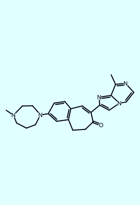 Cc1nccn2cc(C3=Cc4ccc(N5CCCN(C)CC5)cc4CCC3=O)nc12